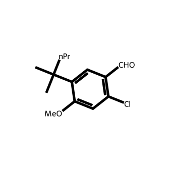 CCCC(C)(C)c1cc(C=O)c(Cl)cc1OC